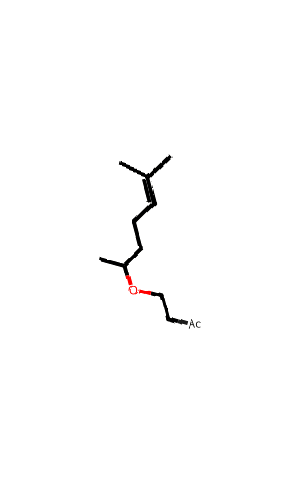 CC(=O)CCOC(C)CCC=C(C)C